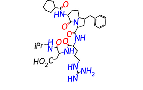 CC(C)CNC(=O)C(CC(=O)O)NC(=O)C(CCCNC(=N)N)NC(=O)C1CC(Cc2ccccc2)C2CCC(NC(=O)C3CCCCC3)C(=O)N12